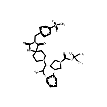 CC(C)C([C@@H]1CN(C(=O)OC(C)(C)C)C[C@@H]1c1ccccc1)N1CCC2(CC1)NC(=O)N(Cc1ccc(S(C)(=O)=O)cc1)C2=O